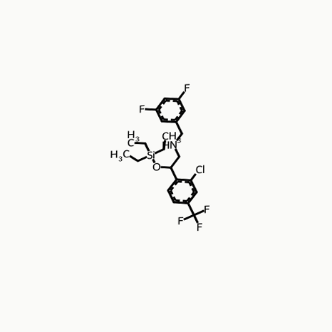 CC[Si](CC)(CC)OC(CNCc1cc(F)cc(F)c1)c1ccc(C(F)(F)F)cc1Cl